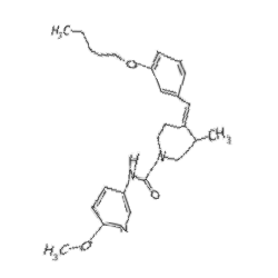 CCCCOc1cccc(C=C2CCN(C(=O)Nc3ccc(OC)nc3)CC2C)c1